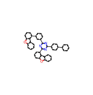 c1ccc(-c2ccc(-c3nc(-c4cccc(-c5cccc6oc7ccccc7c56)c4)nc(-c4cccc5oc6ccccc6c45)n3)cc2)cc1